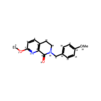 CCOc1ccc2c(n1)C(=O)N(Cc1ccc(OC)cc1)CC2